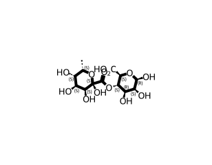 C[C@@H]1O[C@](O)(C(=O)O[C@H]2[C@H](O)[C@H](O)[C@H](O)O[C@@H]2C(=O)O)[C@@H](O)[C@@H](O)[C@@H]1O